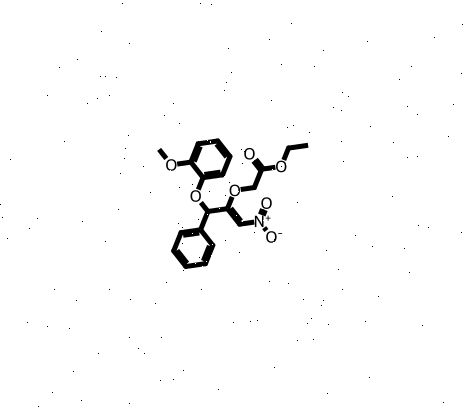 CCOC(=O)COC(=C[N+](=O)[O-])C(Oc1ccccc1OC)c1ccccc1